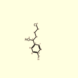 OC(CCCCl)c1ccc(F)cc1